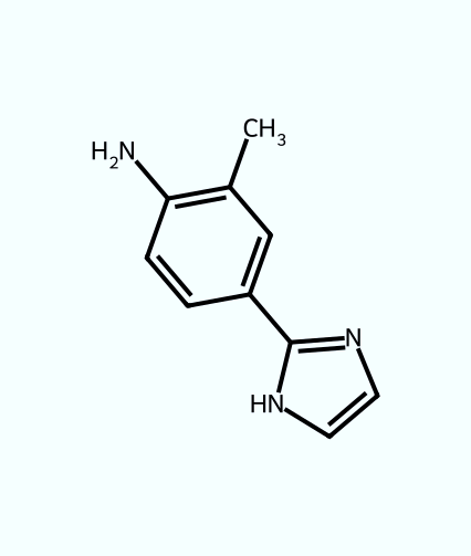 Cc1cc(-c2ncc[nH]2)ccc1N